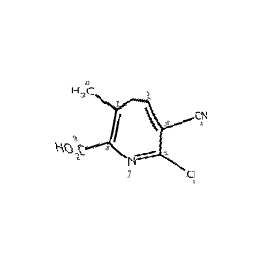 Cc1cc(C#N)c(Cl)nc1C(=O)O